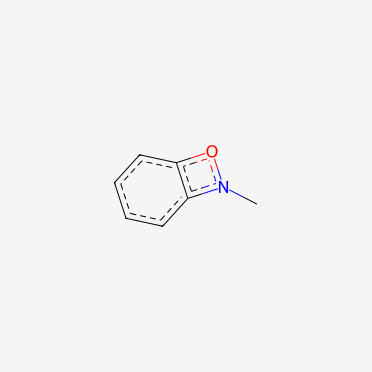 Cn1oc2ccccc21